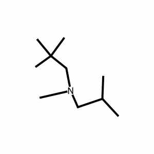 CC(C)CN(C)CC(C)(C)C